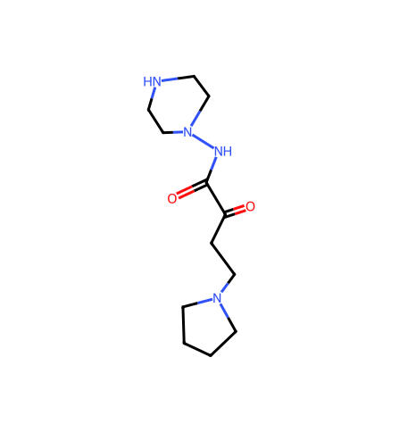 O=C(CCN1CCCC1)C(=O)NN1CCNCC1